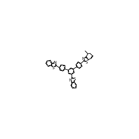 CC1CC=Cc2sc(-c3ccc(-c4cc(-c5ccc(-c6nc7ccccc7s6)cc5)cc(-c5nc6ccccc6s5)c4)cc3)nc21